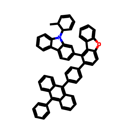 CC1C=CC=CC1n1c2ccccc2c2ccc(-c3c(-c4ccc(-c5c6ccccc6c(-c6ccccc6)c6ccccc56)cc4)ccc4oc5ccccc5c34)cc21